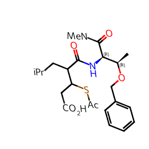 CNC(=O)[C@H](NC(=O)C(CC(C)C)C(CC(=O)O)SC(C)=O)[C@@H](C)OCc1ccccc1